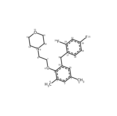 Cc1cc(C)c(OCCN2CCOCC2)c(Cc2ccc(F)cc2F)c1